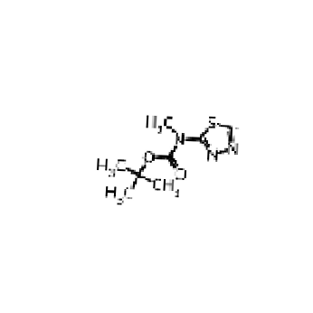 CN(C(=O)OC(C)(C)C)c1nn[c]s1